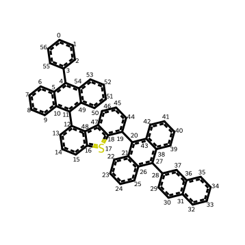 c1ccc(-c2c3ccccc3c(-c3cccc4sc5c(-c6c7ccccc7c(-c7ccc8ccccc8c7)c7ccccc67)cccc5c34)c3ccccc23)cc1